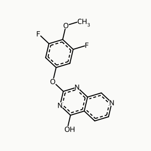 COc1c(F)cc(Oc2nc(O)c3ccncc3n2)cc1F